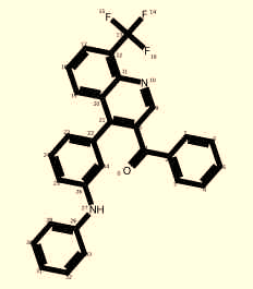 O=C(c1ccccc1)c1cnc2c(C(F)(F)F)cccc2c1-c1cccc(Nc2ccccc2)c1